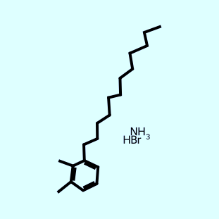 Br.CCCCCCCCCCCCc1cccc(C)c1C.N